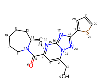 CCc1cc(C(=O)N2CCCCC[C@H]2C)nc2nc(-c3cccs3)nn12